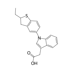 CCC1Cc2cc(-n3cc(CC(=O)O)c4ccccc43)ccc2S1